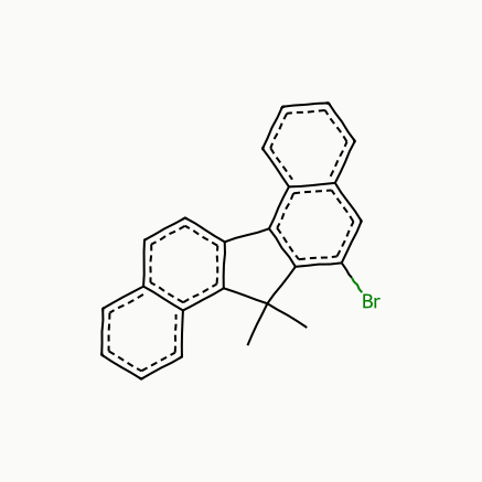 CC1(C)c2c(Br)cc3ccccc3c2-c2ccc3ccccc3c21